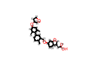 Cc1ccc(-c2c(C)cc(O[C@H]3CCOC3)cc2C)cc1COc1ccc2c(c1)OC[C@H]2CC(=O)O